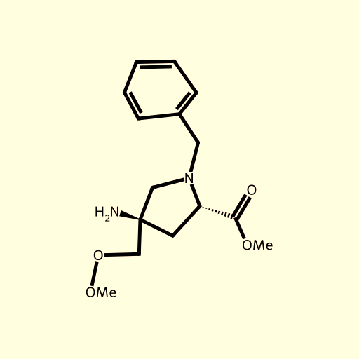 COOC[C@@]1(N)C[C@@H](C(=O)OC)N(Cc2ccccc2)C1